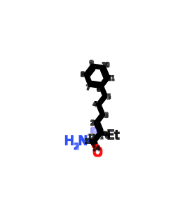 CC/C(=C\CCCc1ccccc1)C(N)=O